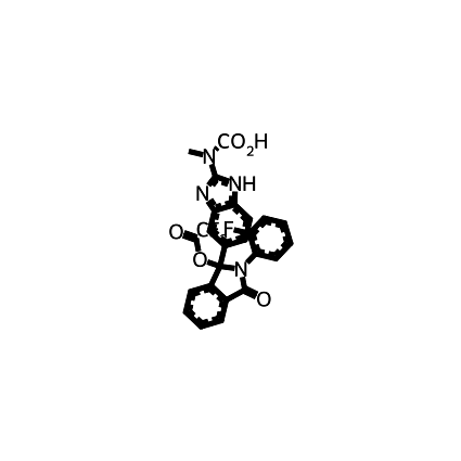 CN(C(=O)O)c1nc2cc(C3(OC(=O)C(F)(F)F)c4ccccc4C(=O)N3c3ccccc3F)ccc2[nH]1